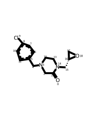 O=C1CN(Cc2ccc(Cl)cc2)CCN1C[C@@H]1CO1